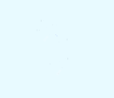 CC(C)C(=O)C(C)(C)CCC(C)(C)NC(=O)C(C)(C)C